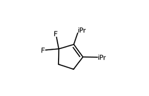 CC(C)C1=C(C(C)C)C(F)(F)CC1